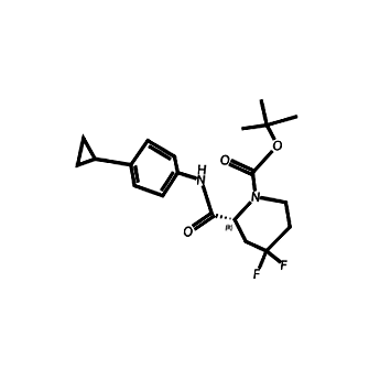 CC(C)(C)OC(=O)N1CCC(F)(F)C[C@@H]1C(=O)Nc1ccc(C2CC2)cc1